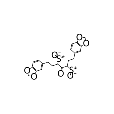 C[S+]([O-])C(CCc1ccc2c(c1)OCO2)C(=O)C(CCc1ccc2c(c1)OCO2)[S+](C)[O-]